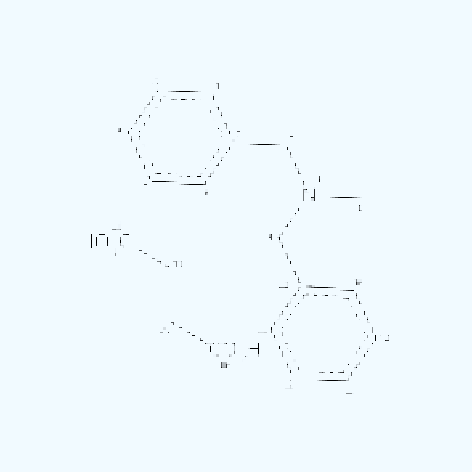 CN(Cc1ccccc1)Cc1ccccc1.O=C(O)C=CC(=O)O